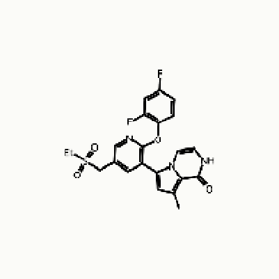 CCS(=O)(=O)Cc1cnc(Oc2ccc(F)cc2F)c(-c2cc(C)c3c(=O)[nH]ccn23)c1